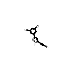 CCC#Cc1cc(-c2cc(Cl)cc(Cl)c2)n[nH]1